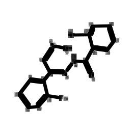 O=C(N/N=C(\C=N/O)c1ccccc1F)c1ccccc1Br